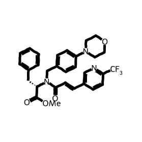 COC(=O)[C@H](Cc1ccccc1)N(Cc1ccc(N2CCOCC2)cc1)C(=O)C=Cc1ccc(C(F)(F)F)nc1